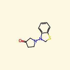 O=C1CCN(N2CSc3ccccc32)C1